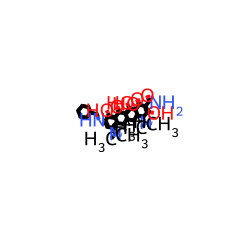 CN(C)c1cc(NCC2CCCCC2)c(O)c2c1C[C@H]1C[C@H]3[C@H](N(C)C)C(O)=C(C(N)=O)C(=O)[C@@]3(O)C(O)=C1C2=O